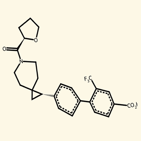 O=C(O)c1ccc(-c2ccc([C@@H]3CC34CCN(C(=O)[C@H]3CCCO3)CC4)cc2)c(C(F)(F)F)c1